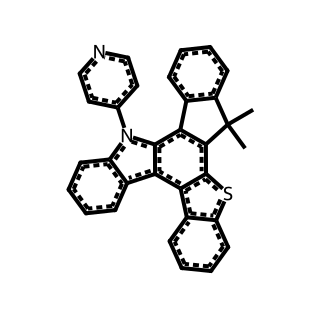 CC1(C)c2ccccc2-c2c1c1sc3ccccc3c1c1c3ccccc3n(-c3ccncc3)c21